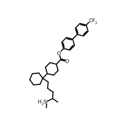 C[SiH2]C(C)CCCC1(C2CCC(C(=O)Oc3ccc(-c4ccc(C(F)(F)F)cc4)cc3)CC2)CCCCC1